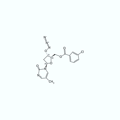 Cc1cnc(=O)n([C@H]2C[C@H](ON=[N+]=[N-])[C@@H](COC(=O)c3cccc(Cl)c3)O2)c1